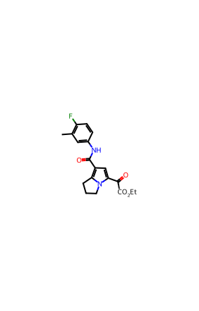 CCOC(=O)C(=O)c1cc(C(=O)Nc2ccc(F)c(C)c2)c2n1CCC2